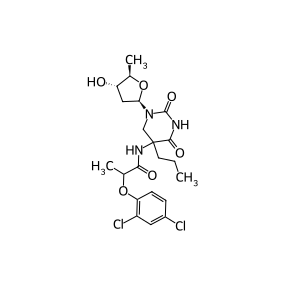 CCCC1(NC(=O)C(C)Oc2ccc(Cl)cc2Cl)CN([C@H]2C[C@H](O)[C@@H](C)O2)C(=O)NC1=O